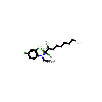 CCCC(C)CN(c1ccc(F)cc1F)C(F)(F)C(F)CCCCCCC(F)(F)F